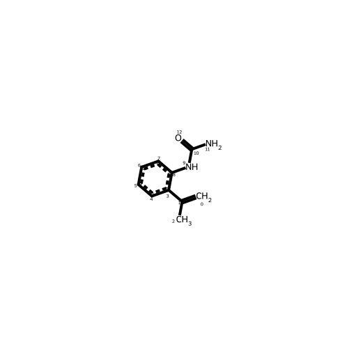 C=C(C)c1ccccc1NC(N)=O